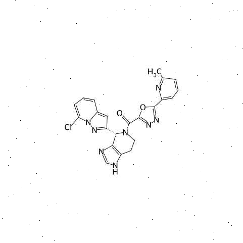 Cc1cccc(-c2nnc(C(=O)N3CCc4[nH]cnc4[C@@H]3c3cc4cccc(Cl)n4n3)o2)n1